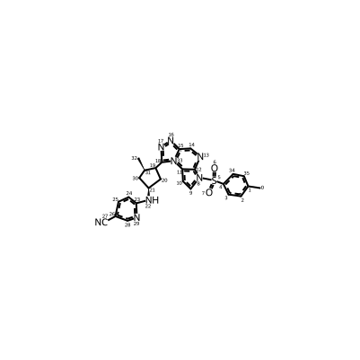 Cc1ccc(S(=O)(=O)n2ccc3c2ncc2nnc(C4C[C@@H](Nc5ccc(C#N)cn5)C[C@H]4C)n23)cc1